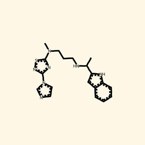 CC(NCCCN(C)c1nc(-n2ccnc2)ns1)c1cc2ccccc2[nH]1